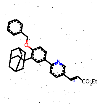 CCOC(=O)/C=C/c1ccc(-c2ccc(OCc3ccccc3)c(C34CC5CC(CC(C5)C3)C4)c2)nc1